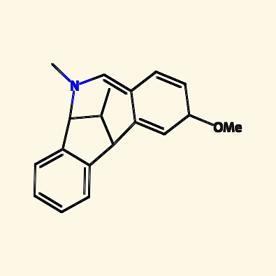 COC1C=CC2=CN(C)C3c4ccccc4C(C2=C1)C3C